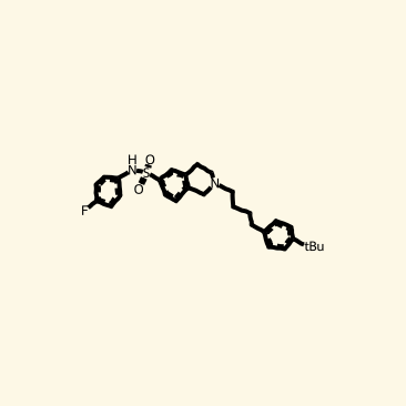 CC(C)(C)c1ccc(CCCCN2CCc3cc(S(=O)(=O)Nc4ccc(F)cc4)ccc3C2)cc1